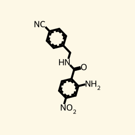 N#Cc1ccc(CNC(=O)c2ccc([N+](=O)[O-])cc2N)cc1